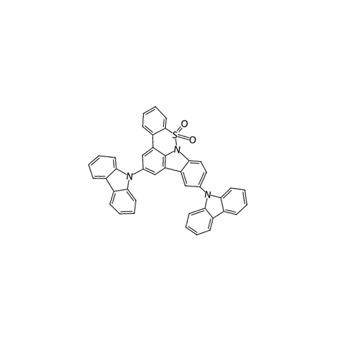 O=S1(=O)c2ccccc2-c2cc(-n3c4ccccc4c4ccccc43)cc3c4cc(-n5c6ccccc6c6ccccc65)ccc4n1c23